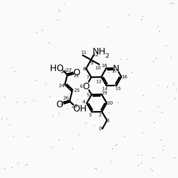 CCc1ccc(OC(CC(C)(C)N)c2cccnc2)cc1.O=C(O)C=CC(=O)O